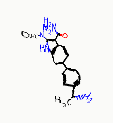 CC(N)c1ccc(-c2ccc3c(C(N)=O)c(N(N)C=O)[nH]c3c2)cc1